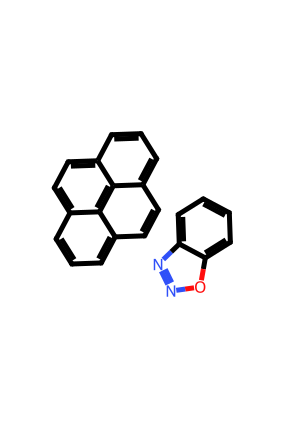 c1cc2ccc3cccc4ccc(c1)c2c34.c1ccc2onnc2c1